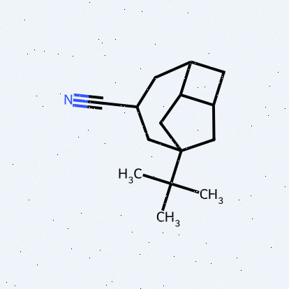 CC(C)(C)C12CC(C#N)CC3CC(C1)C3C2